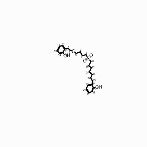 O=S(=O)(CCCCCCCc1ccccc1O)CCCCCCCc1ccccc1O